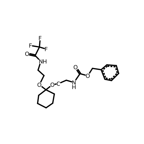 O=C(NCCOC1(OCCNC(=O)C(F)(F)F)CCCCC1)OCc1ccccc1